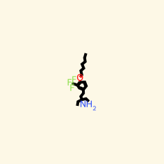 CCCCCCCOc1ccc(CCC(N)(CC)CC)cc1C(F)(F)F